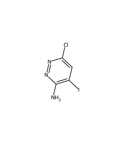 Nc1nnc(Cl)cc1I